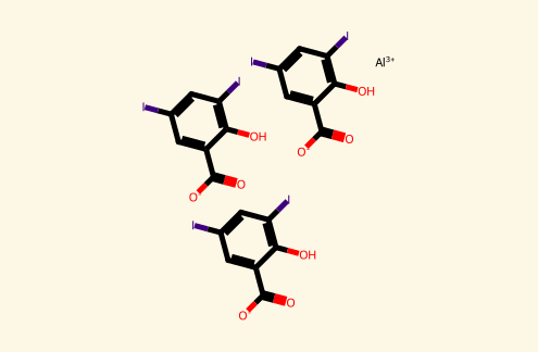 O=C([O-])c1cc(I)cc(I)c1O.O=C([O-])c1cc(I)cc(I)c1O.O=C([O-])c1cc(I)cc(I)c1O.[Al+3]